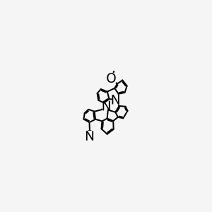 COc1cccc2c1c1ccccc1n2-c1cccc2c1Cc1c-2cccc1-c1c(C#N)cccc1C#N